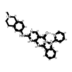 CN1CCc2cc(Nc3ncc4c(=O)n5c(nc4n3)c3ccccc3n5-c3ccccn3)ccc2C1